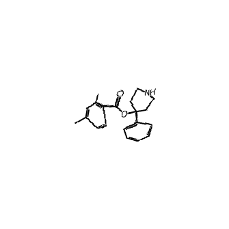 Cc1ccc(C(=O)OC2(c3ccccc3)CCNCC2)c(C)c1